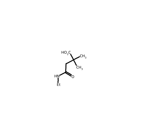 CCNC(=O)CC(C)(C)C(=O)O